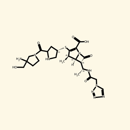 C[C@@H](NC(=O)Cn1cnnn1)[C@H]1C(=O)N2C(C(=O)O)=C(S[C@@H]3CNC(C(=O)N4CCC(N)(CO)C4)C3)[C@H](C)[C@H]12